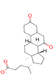 CC(CCC(=O)O)[C@H]1CC[C@H]2[C@@H]3C(=O)CC4CC(=O)CC[C@]4(C)[C@H]3CC[C@]12C